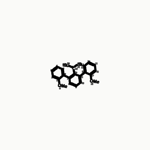 COc1ccccc1-c1cccc(-c2ccccc2OC)c1P(C(C)(C)C)C(C)(C)C